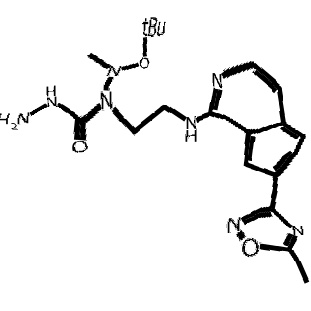 Cc1nc(-c2ccc3ccnc(NCCN(C(=O)NN)N(C)OC(C)(C)C)c3c2)no1